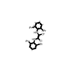 CC(C)c1cccc(C(C)C)c1N/C(Cl)=C(/Cl)Nc1c(C(C)C)cccc1C(C)C